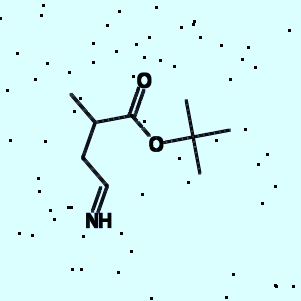 CC(CC=N)C(=O)OC(C)(C)C